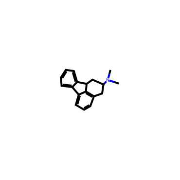 CN(C)C1Cc2cccc3c2C(C1)c1ccccc1-3